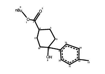 CCCCOC(=O)C1CCC(O)(c2ccc(C)cc2)CC1